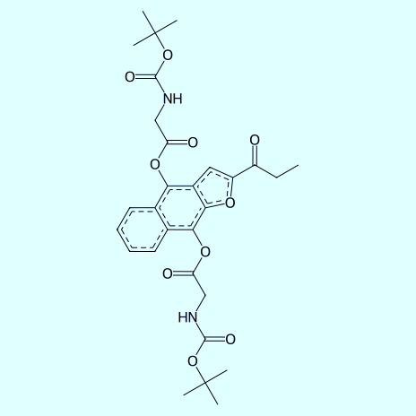 CCC(=O)c1cc2c(OC(=O)CNC(=O)OC(C)(C)C)c3ccccc3c(OC(=O)CNC(=O)OC(C)(C)C)c2o1